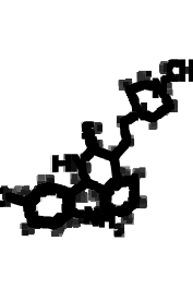 CN1CCN(CCC2C(=S)NC(c3cc(Cl)ccc3N)c3ccccc32)CC1